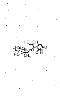 CCC(O)P(=O)(O)OC(C)(CC)CCOC([C@H](O)CO)n1ccc(=O)[nH]c1=O